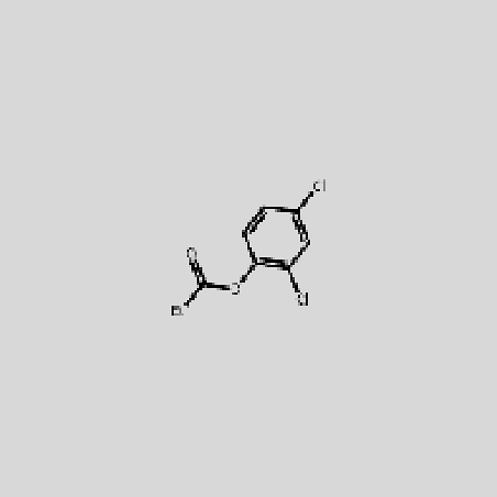 CCC(=O)Oc1ccc(Cl)cc1Cl